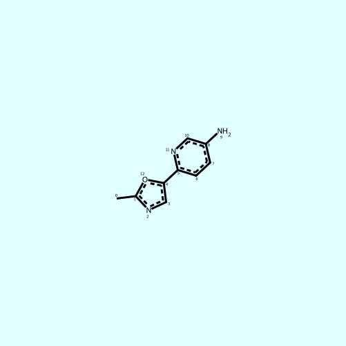 Cc1ncc(-c2ccc(N)cn2)o1